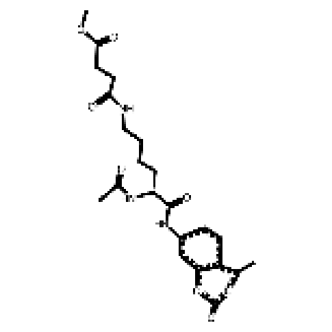 COC(=O)CCC(=O)NCCCC[C@H](NC(C)=O)C(=O)Nc1ccc2c(C)cc(=O)oc2c1